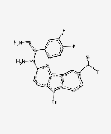 CCn1c2ccc(C(F)F)cc2c2cc(N(N)/C(=C\N)c3ccc(F)c(F)c3)ccc21